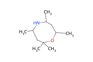 CC1CC(C)OC(C)(C)CC(C)N1